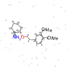 COc1ccc(CCO[C@H]2CCCC[C@@H]2N)cc1OC